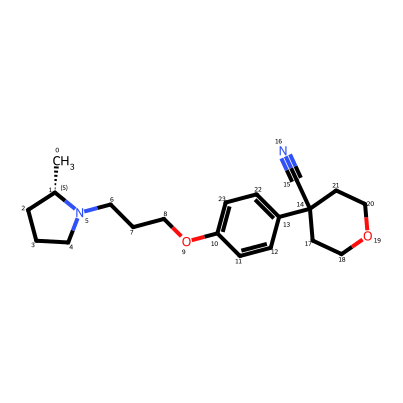 C[C@H]1CCCN1CCCOc1ccc(C2(C#N)CCOCC2)cc1